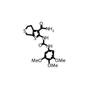 COc1cc(NC(=O)Nc2sc3c(c2C(N)=O)CCSC3)cc(OC)c1OC